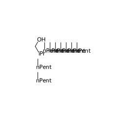 CC(C)CO.CCCCCC.CCCCCC.CCCCCC.CCCCCC.CCCCCC.CCCCCC.CCCCCC.CCCCCC.CCCCCC